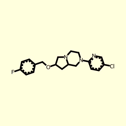 Fc1ccc(COC2CC3CN(c4ccc(Cl)cn4)CCN3C2)cc1